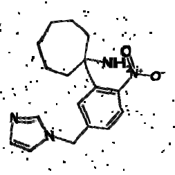 NC1(c2cc(Cn3ccnc3)ccc2[N+](=O)[O-])CCCCCC1